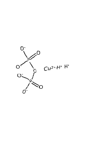 O=P([O-])([O-])OP(=O)([O-])[O-].[Cu+2].[H+].[H+]